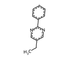 CCc1cnc(-c2cc[c]cc2)nc1